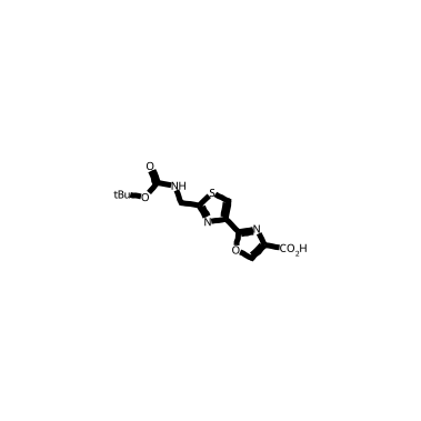 CC(C)(C)OC(=O)NCc1nc(-c2nc(C(=O)O)co2)cs1